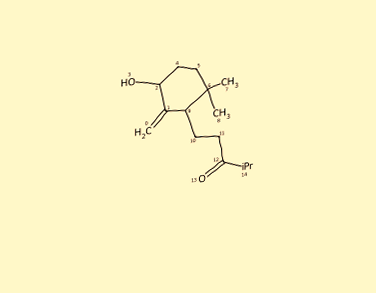 C=C1C(O)CCC(C)(C)C1CCC(=O)C(C)C